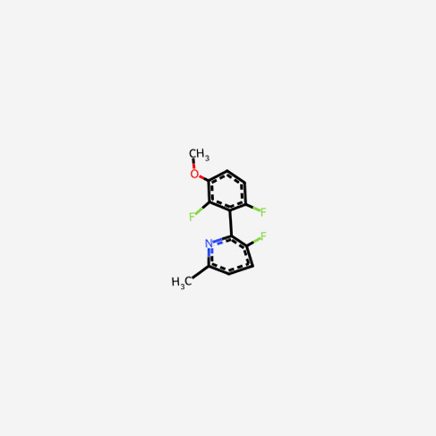 COc1ccc(F)c(-c2nc(C)ccc2F)c1F